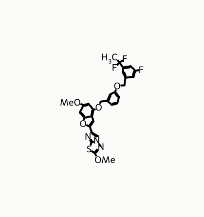 COc1cc(OCc2cccc(OCc3cc(F)cc(C(C)(F)F)c3)c2)c2cc(-c3cn4nc(OC)sc4n3)oc2c1